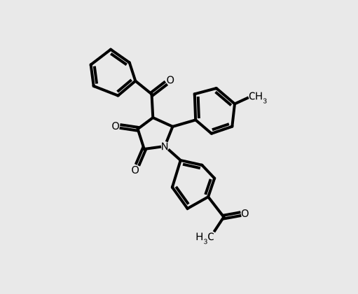 CC(=O)c1ccc(N2C(=O)C(=O)C(C(=O)c3ccccc3)C2c2ccc(C)cc2)cc1